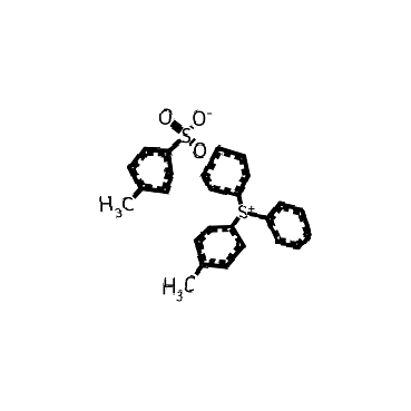 Cc1ccc(S(=O)(=O)[O-])cc1.Cc1ccc([S+](c2ccccc2)c2ccccc2)cc1